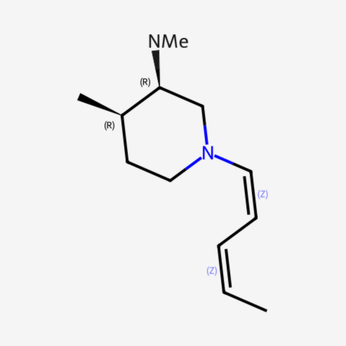 C/C=C\C=C/N1CC[C@@H](C)[C@@H](NC)C1